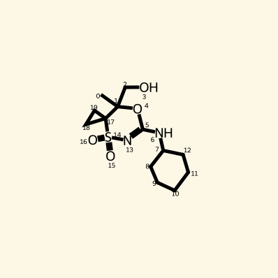 CC1(CO)OC(NC2CCCCC2)=NS(=O)(=O)C12CC2